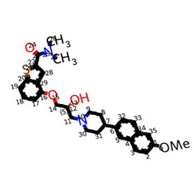 COc1ccc2cc(C3CCN(C[C@H](O)COc4cccc5sc(C(=O)N(C)C)cc45)CC3)ccc2c1